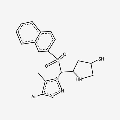 CC(=O)c1nnn(C(C2CC(S)CN2)S(=O)(=O)c2ccc3ccccc3c2)c1C